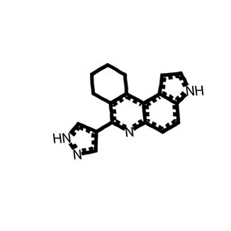 c1cc2c(ccc3nc(-c4cn[nH]c4)c4c(c32)CCCC4)[nH]1